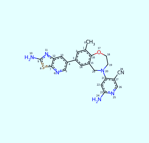 Cc1cc(-c2cnc3sc(N)nc3c2)cc2c1OCCN(c1cc(N)ncc1C#N)C2